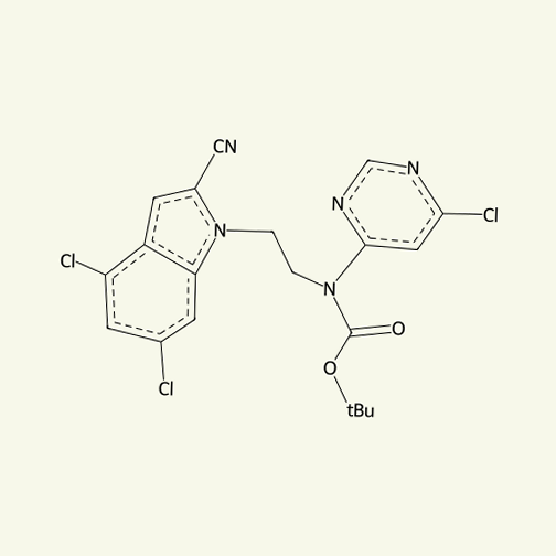 CC(C)(C)OC(=O)N(CCn1c(C#N)cc2c(Cl)cc(Cl)cc21)c1cc(Cl)ncn1